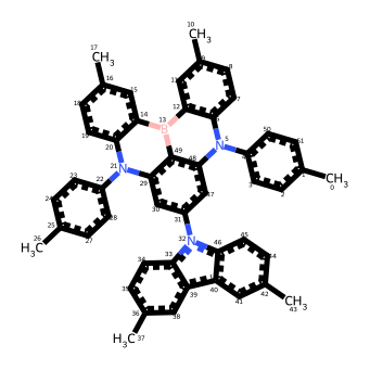 Cc1ccc(N2c3ccc(C)cc3B3c4cc(C)ccc4N(c4ccc(C)cc4)c4cc(-n5c6ccc(C)cc6c6cc(C)ccc65)cc2c43)cc1